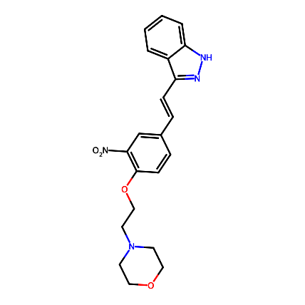 O=[N+]([O-])c1cc(/C=C/c2n[nH]c3ccccc23)ccc1OCCN1CCOCC1